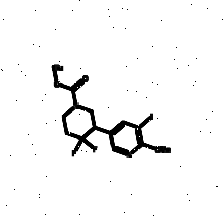 COc1ncc(C2CN(C(=O)OC(C)(C)C)CCC2(F)F)cc1I